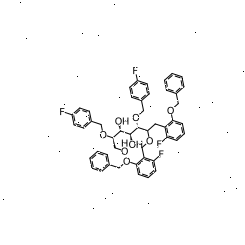 OC[C@@H](OCc1ccc(F)cc1)[C@@H](O)[C@H](O)[C@H](OCc1ccc(F)cc1)C(Cc1c(F)cccc1OCc1ccccc1)OCc1c(F)cccc1OCc1ccccc1